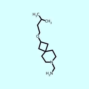 CC(C)CCOC1CC2(CCN(CN)CC2)C1